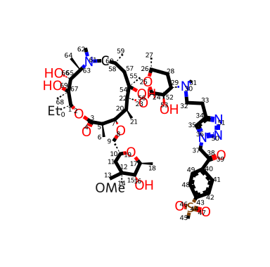 CC[C@H]1OC(=O)[C@H](C)[C@@H](OC[C@H]2C[C@@](C)(OC)[C@@H](O)[C@H](C)O2)[C@H](C)[C@@H](O[C@@H]2O[C@H](C)C[C@H](N(C)CCc3cn(CC(=O)c4ccc(S(C)(=O)=O)cc4)nn3)[C@H]2O)[C@](C)(O)C[C@@H](C)CN(C)[C@H](C)[C@@H](O)[C@]1(C)O